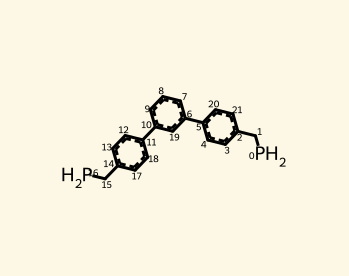 PCc1ccc(-c2cccc(-c3ccc(CP)cc3)c2)cc1